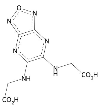 O=C(O)CNc1nc2nonc2nc1NCC(=O)O